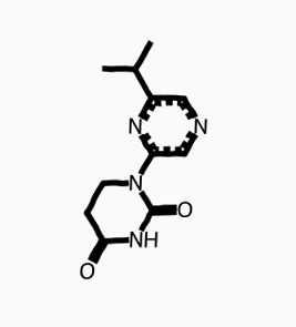 CC(C)c1cncc(N2CCC(=O)NC2=O)n1